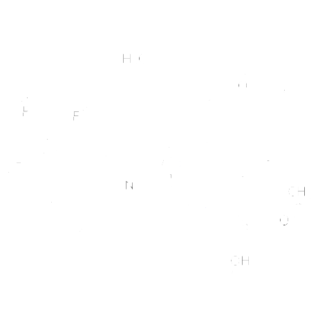 CCC/C=C(/C=C(/C(=O)O)C1=C(C)CCOCC1)N1CCCC(C(F)(F)F)C1